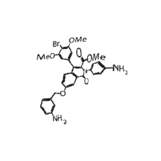 COC(=O)c1c(-c2cc(OC)c(Br)c(OC)c2)c2ccc(OCc3cccc(N)c3)cc2c(=O)n1-c1ccc(N)cc1